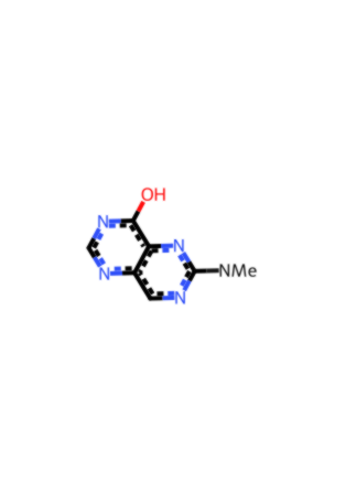 CNc1ncc2ncnc(O)c2n1